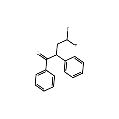 O=C(c1ccccc1)C(CC(F)F)c1ccccc1